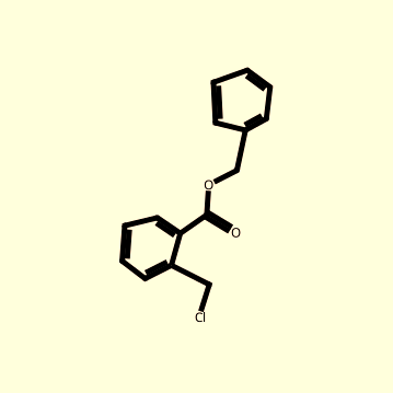 O=C(OCc1ccccc1)c1ccccc1CCl